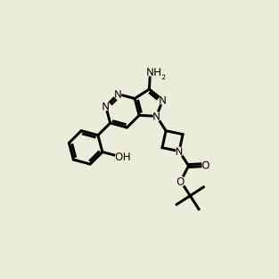 CC(C)(C)OC(=O)N1CC(n2nc(N)c3nnc(-c4ccccc4O)cc32)C1